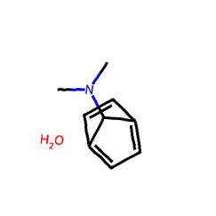 CN(C)C1C2=CC=C1C=C2.O